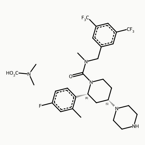 CN(C)C(=O)O.Cc1cc(F)ccc1[C@H]1C[C@@H](N2CCNCC2)CCN1C(=O)N(C)Cc1cc(C(F)(F)F)cc(C(F)(F)F)c1